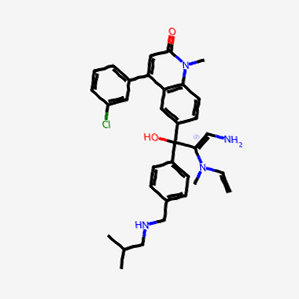 C=CN(C)/C(=C\N)C(O)(c1ccc(CNCC(C)C)cc1)c1ccc2c(c1)c(-c1cccc(Cl)c1)cc(=O)n2C